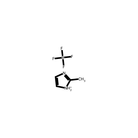 CC1=NC=C[NH2+]1.F[B-](F)(F)F